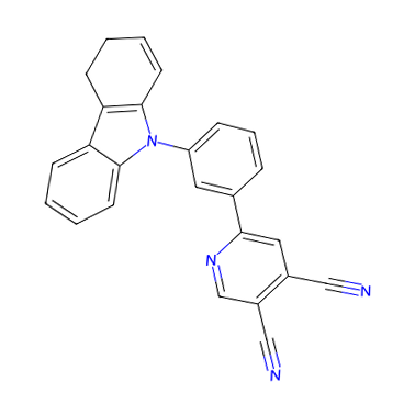 N#Cc1cnc(-c2cccc(-n3c4c(c5ccccc53)CCC=C4)c2)cc1C#N